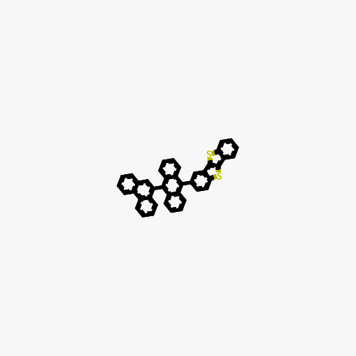 c1ccc2c(c1)cc(-c1c3ccccc3c(-c3ccc4sc5c6ccccc6sc5c4c3)c3ccccc13)c1ccccc12